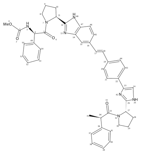 COC(=O)N[C@@H](C(=O)N1CCC[C@H]1c1nc2cc(/C=C/c3ccc(-c4c[nH]c([C@@H]5CCCN5C(=O)[C@H](C)c5ccccc5)n4)cc3)ccc2[nH]1)c1ccccc1